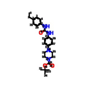 CCc1ccc(NC(=O)Nc2ccc(N3CCN(C(=O)OC(C)(C)C)CC3)cc2)cc1